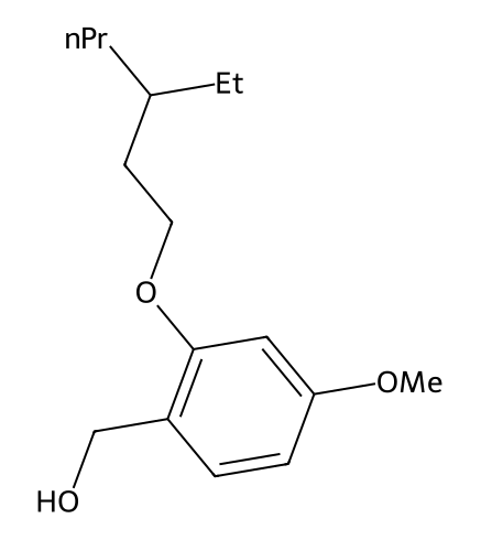 CCCC(CC)CCOc1cc(OC)ccc1CO